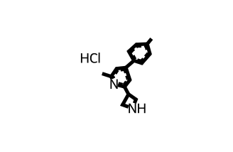 Cc1ccc(-c2cc(C)nc(C3CNC3)c2)cc1.Cl